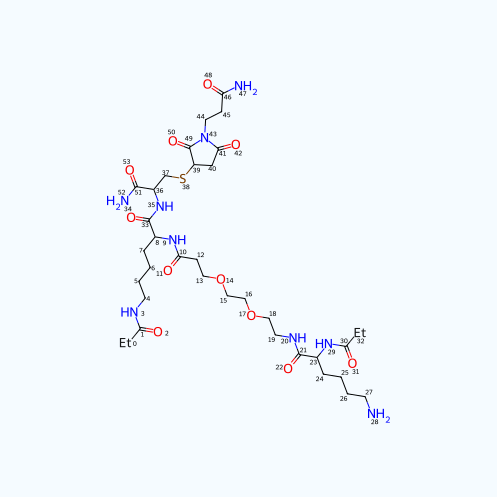 CCC(=O)NCCCCC(NC(=O)CCOCCOCCNC(=O)C(CCCCN)NC(=O)CC)C(=O)NC(CSC1CC(=O)N(CCC(N)=O)C1=O)C(N)=O